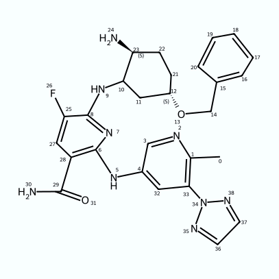 Cc1ncc(Nc2nc(NC3C[C@@H](OCc4ccccc4)CC[C@@H]3N)c(F)cc2C(N)=O)cc1-n1nccn1